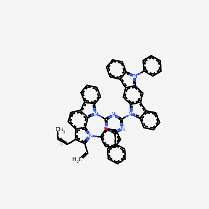 C=Cc1c(/C=C\C)c2ccc3c4ccccc4n(-c4nc(-c5ccccc5)nc(-n5c6ccccc6c6cc7c(cc65)c5ccccc5n7-c5ccccc5)n4)c3c2n1-c1ccccc1